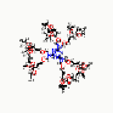 CCO[Si](CCCOCN(COCCC[Si](C)(O[Si](C)(C)C)O[Si](C)(C)C)c1nc(N(COCCC[Si](C)(O[Si](C)(C)C)O[Si](C)(C)C)COCCC[Si](C)(O[Si](C)(C)C)O[Si](C)(C)C)nc(N(COCCC[Si](C)(O[Si](C)(C)C)O[Si](C)(C)C)COCCC[Si](OCC)(OCC)OCC)n1)(OCC)OCC